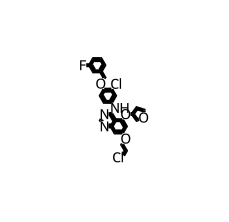 Fc1cccc(COc2ccc(Nc3ncnc4cc(OCCCl)cc(OC5CCOC5)c34)cc2Cl)c1